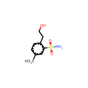 NS(=O)(=O)c1cc(S(=O)(=O)O)ccc1CCO